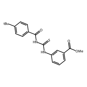 COC(=O)c1cccc(NC(=S)NC(=O)c2ccc(C(C)(C)C)cc2)c1